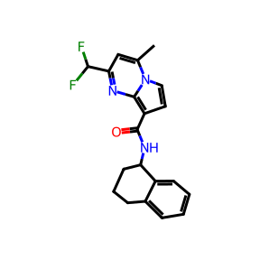 Cc1cc(C(F)F)nc2c(C(=O)NC3CCCc4ccccc43)ccn12